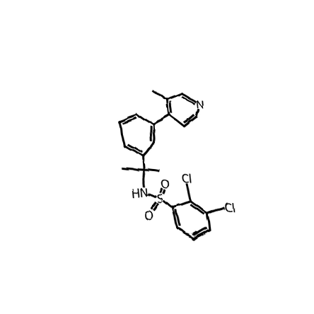 Cc1cnccc1-c1cccc(C(C)(C)NS(=O)(=O)c2cccc(Cl)c2Cl)c1